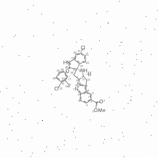 COC(=O)c1ccc2nn3c(c2c1)C[C@@H]1N[C@@]2(C(=O)Nc4cc(Cl)ccc42)[C@@H](c2cccc(Cl)c2F)C13